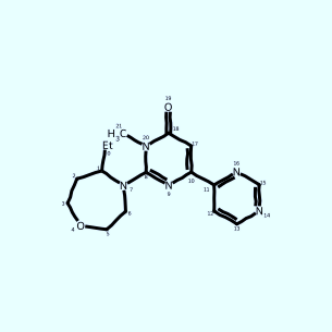 CCC1CCOCCN1c1nc(-c2ccncn2)cc(=O)n1C